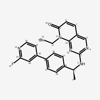 C[C@H](Nc1ncc2ccc(=O)n(CC(C)(C)C)c2n1)c1ccc(-c2ccnc(F)c2)cc1